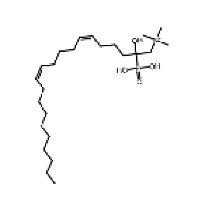 CCCCCCCCC/C=C\CCC/C=C\CCCC(O)(C[N+](C)(C)C)P(=O)(O)O